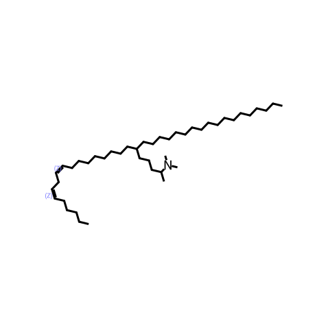 CCCCC/C=C\C/C=C\CCCCCCCCC(CCCCCCCCCCCCCCCCCC)CCCC(C)N(C)C